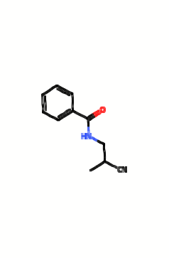 CC(C#N)CNC(=O)c1ccccc1